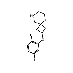 Fc1ccc(F)c(OC2CC3(CCCNC3)C2)c1